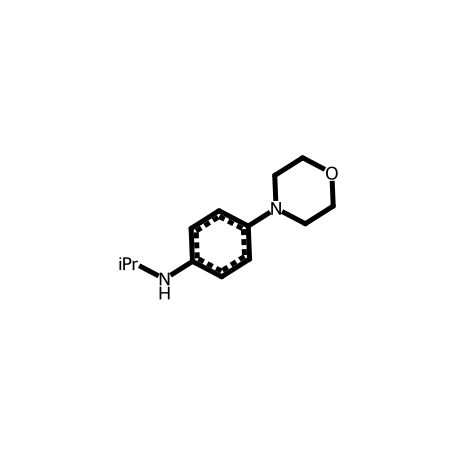 CC(C)Nc1ccc(N2CCOCC2)cc1